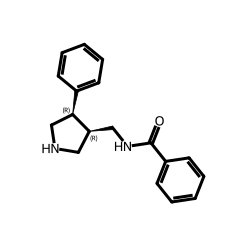 O=C(NC[C@H]1CNC[C@H]1c1ccccc1)c1ccccc1